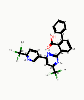 O=C(O)c1c(-c2ccccc2)cccc1-c1nc(-c2ccc(C(F)(F)F)nc2)cc(C(F)(F)F)n1